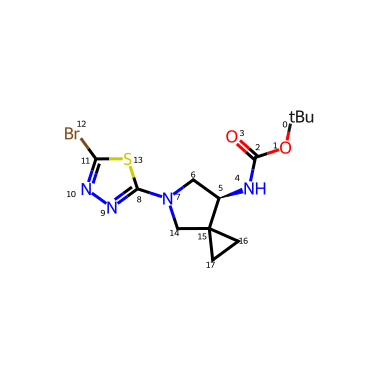 CC(C)(C)OC(=O)N[C@@H]1CN(c2nnc(Br)s2)CC12CC2